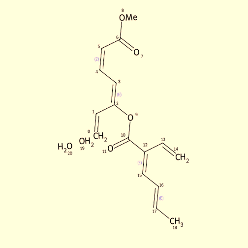 C=C/C(=C\C=C/C(=O)OC)OC(=O)/C(C=C)=C/C=C/C.O.O